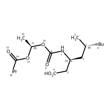 CCCC[C@@H](C)C[C@@H](CC(=O)O)NC(=O)O[C@H](C)OC(=O)C(C)C